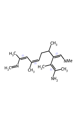 C=N/C(C)=C\C(C)=C/CC(C)C(=C/NC)/C(C)=C(\C)N